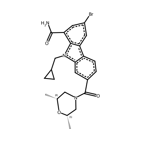 C[C@@H]1CN(C(=O)c2ccc3c4cc(Br)cc(C(N)=O)c4n(CC4CC4)c3c2)C[C@H](C)O1